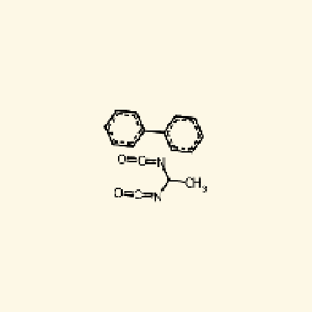 CC(N=C=O)N=C=O.c1ccc(-c2ccccc2)cc1